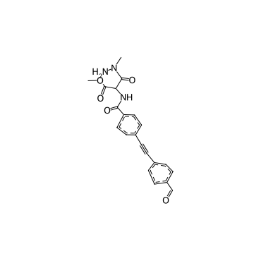 COC(=O)C(NC(=O)c1ccc(C#Cc2ccc(C=O)cc2)cc1)C(=O)N(C)N